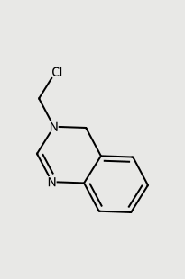 ClCN1C=Nc2ccccc2C1